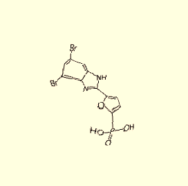 O=P(O)(O)c1ccc(-c2nc3c(Br)cc(Br)cc3[nH]2)o1